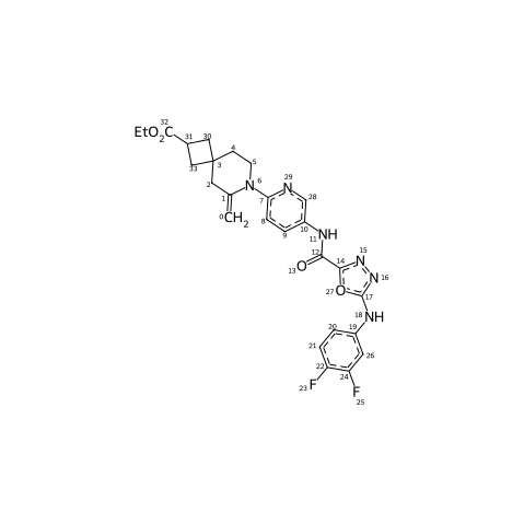 C=C1CC2(CCN1c1ccc(NC(=O)c3nnc(Nc4ccc(F)c(F)c4)o3)cn1)CC(C(=O)OCC)C2